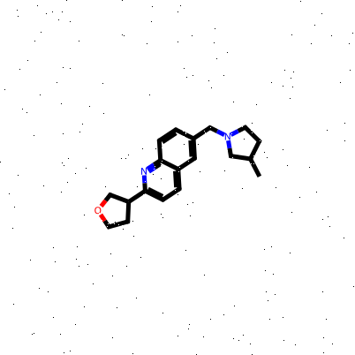 CC1CCN(Cc2ccc3nc(C4CCOC4)ccc3c2)C1